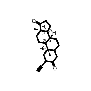 C#CC1C[C@@]2(C)C(CC[C@@H]3[C@@H]2CC[C@]2(C)C(=O)CC[C@@H]32)CC1=O